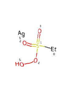 CCS(=O)(=O)OO.[Ag]